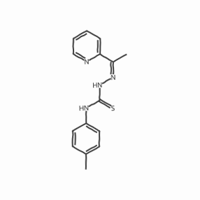 CC(=NNC(=S)Nc1ccc(C)cc1)c1ccccn1